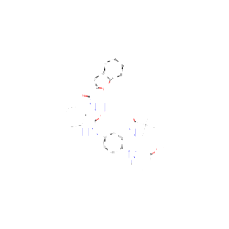 CC1(C)CN(c2cc(NC(=O)C3(NC(=O)c4cc5ccccc5o4)CCCCC3)ccc2N2CCCC(=O)C2)C1=O